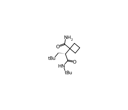 CC(C)(C)C[C@@H](C(=O)NC(C)(C)C)C1(C(N)=O)CCC1